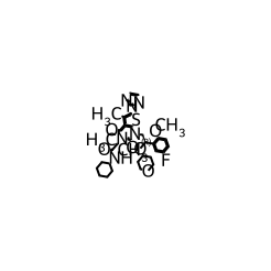 COc1ccc(F)cc1[C@H](Cn1c(=O)n(C(C)(C)C(=O)NC2CCCCC2)c(=O)c2c(C)c(-n3nccn3)sc21)OC1CCOCC1